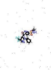 CC(C)(C)NS(=O)(=O)c1ccc(-c2c(C(N)=O)c3cc(C(F)(F)F)cnc3n2C2CCCCC2)cc1